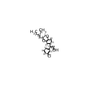 CCN(CC)CC1COc2ccc(C(=NO)c3cccc(Cl)c3)cc2O1